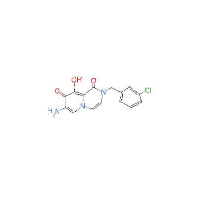 Nc1cn2ccn(Cc3cccc(Cl)c3)c(=O)c2c(O)c1=O